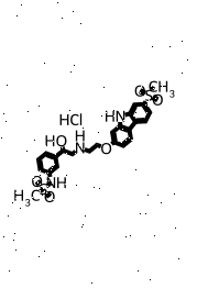 CS(=O)(=O)Nc1cccc(C(O)CNCCOc2ccc3c(c2)[nH]c2cc(S(C)(=O)=O)ccc23)c1.Cl